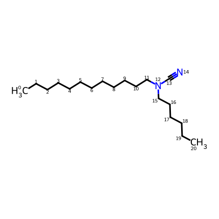 CCCCCCCCCCCCN(C#N)CCCCCC